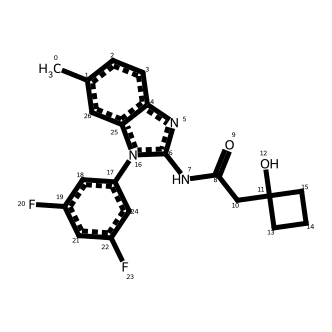 Cc1ccc2nc(NC(=O)CC3(O)CCC3)n(-c3cc(F)cc(F)c3)c2c1